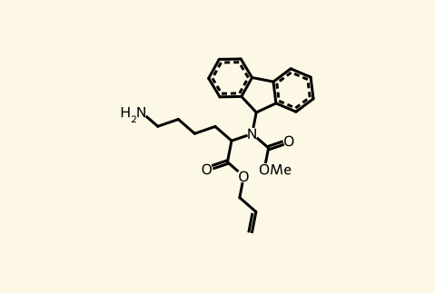 C=CCOC(=O)C(CCCCN)N(C(=O)OC)C1c2ccccc2-c2ccccc21